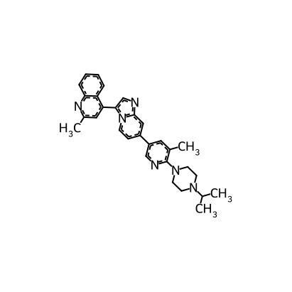 Cc1cc(-c2cnc3cc(-c4cnc(N5CCN(C(C)C)CC5)c(C)c4)ccn23)c2ccccc2n1